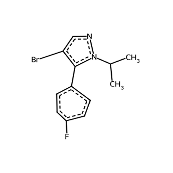 CC(C)n1ncc(Br)c1-c1ccc(F)cc1